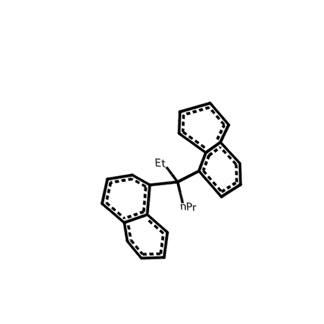 [CH2]CC(CCC)(c1cccc2ccccc12)c1cccc2ccccc12